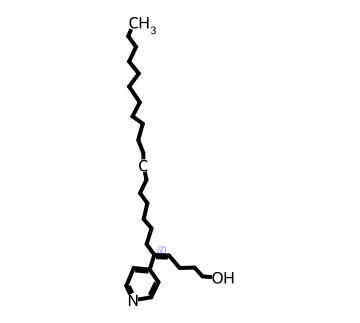 CCCCCCCCCCCCCCCCCC/C(=C/CCCO)c1ccncc1